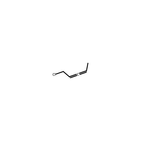 CC=C=CCCl